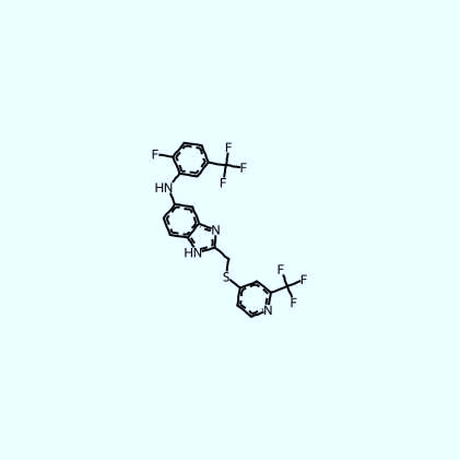 Fc1ccc(C(F)(F)F)cc1Nc1ccc2[nH]c(CSc3ccnc(C(F)(F)F)c3)nc2c1